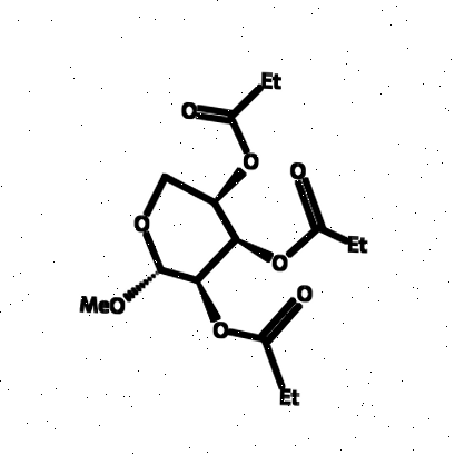 CCC(=O)O[C@H]1[C@H](OC)OC[C@@H](OC(=O)CC)[C@H]1OC(=O)CC